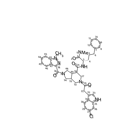 CNC(=O)[C@H](CCCc1ccccc1)NC(=O)C1CN(C(=O)Cc2c[nH]c3cc(Cl)ccc23)CC2CN(C(=O)c3nn(C)c4ccccc34)CC21